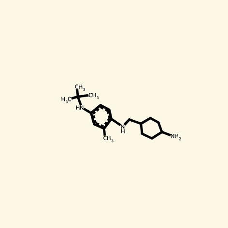 Cc1cc(NC(C)(C)C)ccc1NCC1CCC(N)CC1